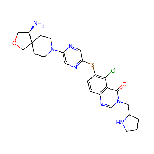 N[C@@H]1COCC12CCN(c1cnc(Sc3ccc4ncn(CC5CCCN5)c(=O)c4c3Cl)cn1)CC2